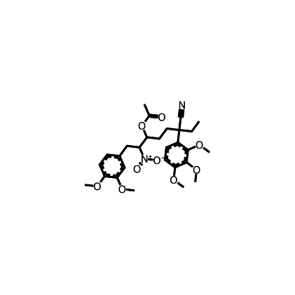 CCC(C#N)(CCC(OC(C)=O)C(Cc1ccc(OC)c(OC)c1)[N+](=O)[O-])c1ccc(OC)c(OC)c1OC